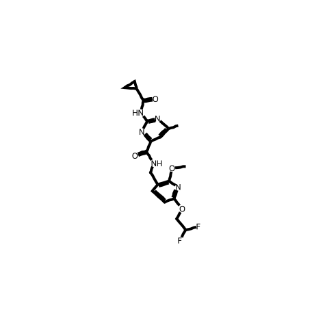 COc1nc(OCC(F)F)ccc1CNC(=O)c1cc(C)nc(NC(=O)C2CC2)n1